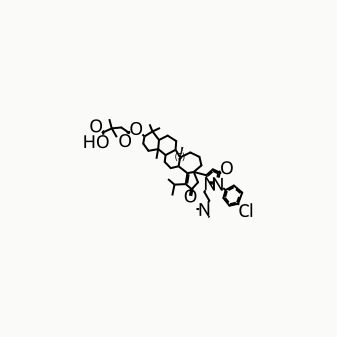 CC(C)C1=C2C3CCC4C(CCC5C(C)(C)C(OC(=O)CC(C)(C)C(=O)O)CCC45C)[C@]3(C)CCCC2(c2cc(=O)n(-c3ccc(Cl)cc3)n2CCN(C)C)CC1=O